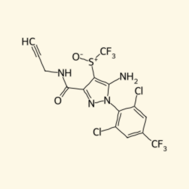 C#CCNC(=O)c1nn(-c2c(Cl)cc(C(F)(F)F)cc2Cl)c(N)c1[S+]([O-])C(F)(F)F